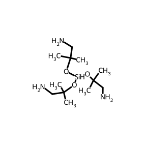 CC(C)(CN)O[SiH](OC(C)(C)CN)OC(C)(C)CN